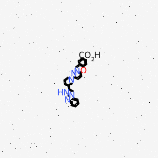 O=C(O)c1cccc(Cn2nc(N3CCCC(C4Cn5c(nc6ccccc65)N4)C3)ccc2=O)c1